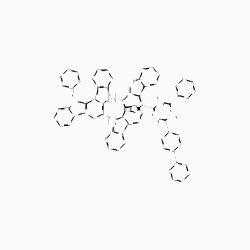 c1ccc(-c2ccc(-c3nc(-c4ccccc4)nc(-c4ccc(-n5c6ccccc6c6c5c(-n5c7ccccc7c7ccccc75)cc5c7ccccc7n(-c7ccccc7)c56)c5oc6ccccc6c45)n3)cc2)cc1